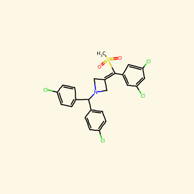 CS(=O)(=O)C(=C1CN(C(c2ccc(Cl)cc2)c2ccc(Cl)cc2)C1)c1cc(Cl)cc(Cl)c1